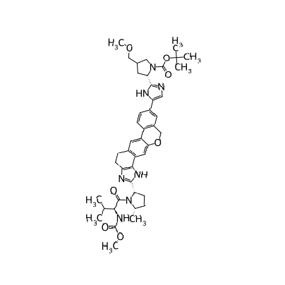 COCC1C[C@@H](c2ncc(-c3ccc4c(c3)COc3cc5c(cc3-4)CCc3nc([C@@H]4CC[C@H](C)N4C(=O)[C@@H](NC(=O)OC)C(C)C)[nH]c3-5)[nH]2)N(C(=O)OC(C)(C)C)C1